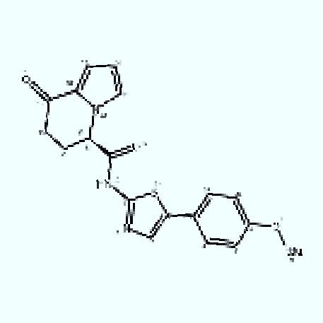 CC(C)(C)Oc1ccc(-c2cnc(NC(=O)[C@H]3CCC(=O)c4cccn43)s2)cc1